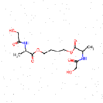 CC(NC(=O)CO)C(=O)OCCCCOC(=O)C(C)NC(=O)CO